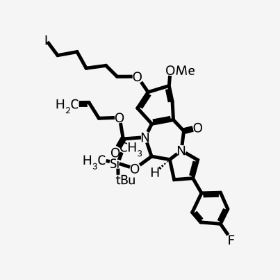 C=CCOC(=O)N1c2cc(OCCCCCI)c(OC)cc2C(=O)N2C=C(c3ccc(F)cc3)C[C@H]2C1O[Si](C)(C)C(C)(C)C